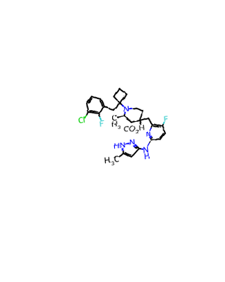 Cc1cc(Nc2ccc(F)c(CC3(C(=O)O)CCN(C4(Cc5cccc(Cl)c5F)CCC4)[C@H](C)C3)n2)n[nH]1